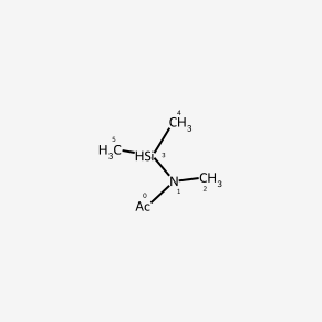 CC(=O)N(C)[SiH](C)C